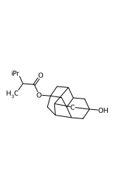 CC(C)C(C)C(=O)OC12CC3C4CC5(O)CC3C(C1)C(C5)C4C2